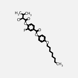 CCCCCCCCOc1ccc(OC(=O)c2ccc(OC(=O)C(Cl)C(C)C)c(F)c2)cc1